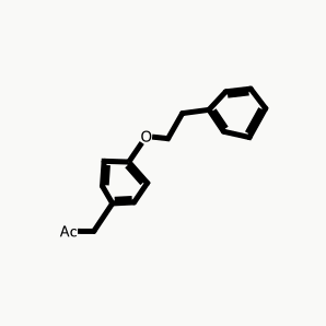 CC(=O)Cc1ccc(OCCc2ccccc2)cc1